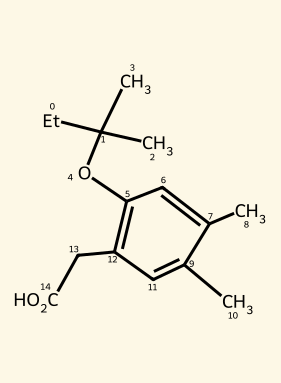 CCC(C)(C)Oc1cc(C)c(C)cc1CC(=O)O